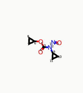 O=NN(C(=O)OC1CC1)C1CC1